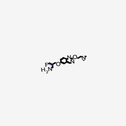 CN(C)CCOc1ncc2cc(OC/C(=C/F)CN)ccc2n1